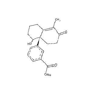 COC(=O)c1cccc([C@]23CCC(=O)C(C)=C2CCC[C@@H]3O)c1